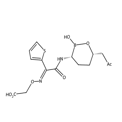 CC(=O)C[C@@H]1CC[C@H](NC(=O)/C(=N/OCC(=O)O)c2cccs2)B(O)O1